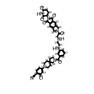 N#Cc1ccc(N2CCC3(CCN(C(=O)c4cccc(NCCNCC(=O)N5Cc6cc7c(cc6C5)C(=O)N(C5CCC(=O)NC5=O)C7=O)c4)C3)CC2)cc1Cl